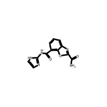 NC(=O)c1nc2cccc(C(=O)Nc3ncc[nH]3)c2o1